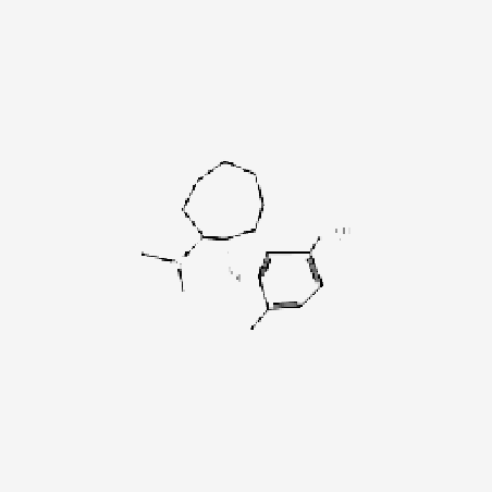 CN(C)[C@H]1CCCCCC[C@@H]1O.Cc1ccc(S(=O)(=O)O)cc1